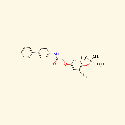 Cc1cc(OCC(=O)Nc2ccc(-c3ccccc3)cc2)ccc1OC(C)(C)C(=O)O